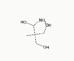 CC(CO)(CO)C(N)O